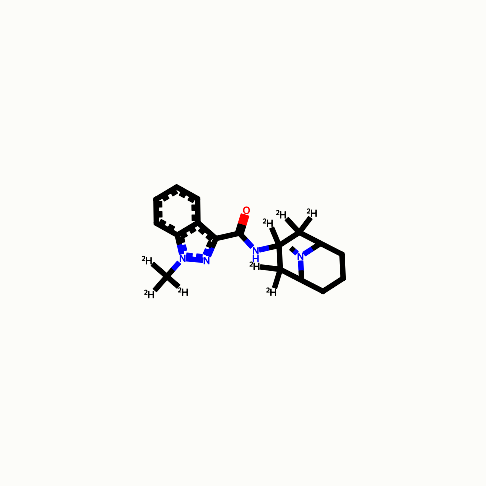 [2H]C([2H])([2H])n1nc(C(=O)NC2([2H])C([2H])([2H])C3CCCC(N3C)C2([2H])[2H])c2ccccc21